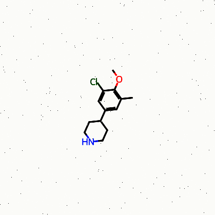 COc1c(C)cc(C2CCNCC2)cc1Cl